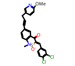 COc1ccc(CC#Cc2ccc3c(c2)C(=O)/C(=C/c2ccc(Cl)c(Cl)c2)[S+]([O-])N3C)cn1